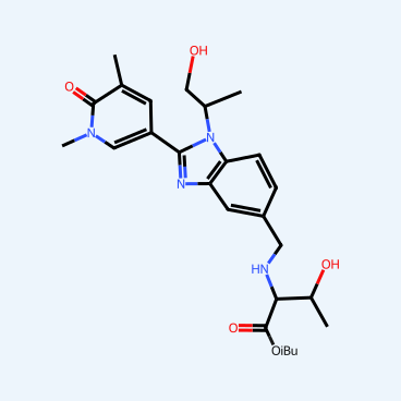 Cc1cc(-c2nc3cc(CNC(C(=O)OCC(C)C)C(C)O)ccc3n2C(C)CO)cn(C)c1=O